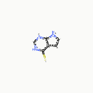 S=c1[nH]cnc2[nH]ccc12